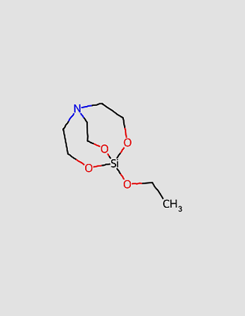 CCO[Si]12OCCN(CCO1)CCO2